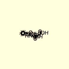 N[C@H](CS(=O)(=O)NCCC(=O)O)NC(=O)OCc1ccccc1